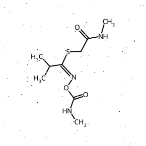 CNC(=O)CSC(=NOC(=O)NC)C(C)C